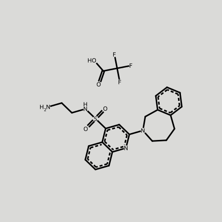 NCCNS(=O)(=O)c1cc(N2CCCc3ccccc3C2)nc2ccccc12.O=C(O)C(F)(F)F